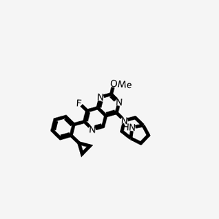 COc1nc(N2CC3CCC(C2)N3)c2cnc(-c3ccccc3C3CC3)c(F)c2n1